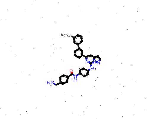 CC(=O)Nc1cccc(-c2cccc(-c3cc4ccnn4c(Nc4ccc(NC(=O)c5ccc(CN)cc5)cc4)n3)c2)c1